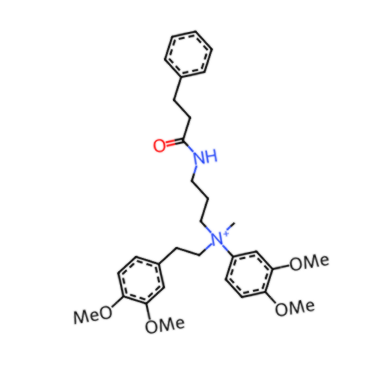 COc1ccc(CC[N+](C)(CCCNC(=O)CCc2ccccc2)c2ccc(OC)c(OC)c2)cc1OC